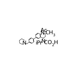 CC(=O)N1c2ccc(-c3ccc(CN4CCCCC4)cc3)cc2C(N(C(=O)O)C(C)C)CC1C